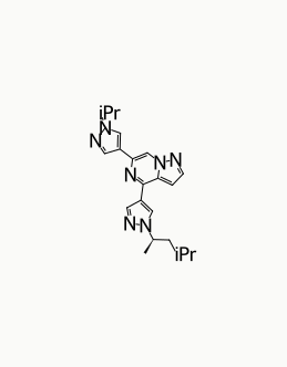 CC(C)C[C@@H](C)n1cc(-c2nc(-c3cnn(C(C)C)c3)cn3nccc23)cn1